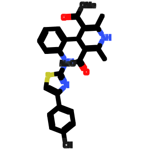 COC(=O)C1=C(C)NC(C)=C(C(=O)OC)C1c1ccccc1Nc1nc(-c2ccc(C#N)cc2)cs1